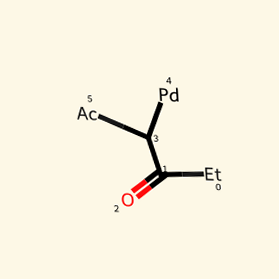 CCC(=O)[CH]([Pd])C(C)=O